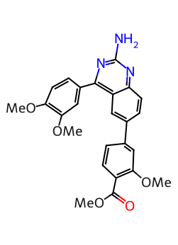 COC(=O)c1ccc(-c2ccc3nc(N)nc(-c4ccc(OC)c(OC)c4)c3c2)cc1OC